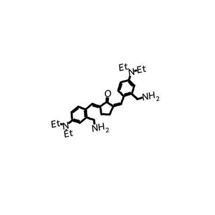 CCN(CC)c1ccc(C=C2CCC(=Cc3ccc(N(CC)CC)cc3CN)C2=O)c(CN)c1